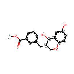 COC(=O)c1cccc(C[C@@H]2COc3ccc(O)cc3[C@@H]2O)c1